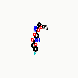 O=C(N[C@@H]1CC[C@@H](c2nnc(C3(OC(F)(F)F)CCC3)o2)OC1)C1CCc2cc(F)ccc2O1